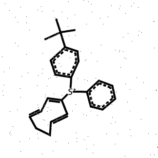 CC(C)(C)c1ccc([S+](C2=C/C=C/CC\C=C\2)c2ccccc2)cc1